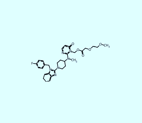 COCCOCC(=O)OCn1c(N(C)C2CCN(c3nc4c(n3Cc3ccc(F)cc3)=CCCC=4)CC2)nccc1=O